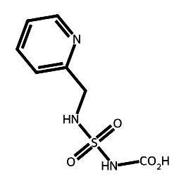 O=C(O)NS(=O)(=O)NCc1ccccn1